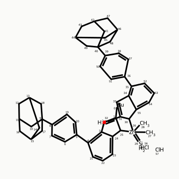 CCC(C)C1=Cc2c(-c3ccc(C45CC6CC(CC(C6)C4)C5)cc3)cccc2[CH]1[Zr]([CH3])([CH3])(=[SiH2])[CH]1C(C)=Cc2c(-c3ccc(C45CC6CC(CC(C6)C4)C5)cc3)cccc21.Cl.Cl